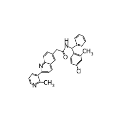 Cc1cc(Cl)ccc1C(NC(=O)Cc1ccc2nc(-c3cccnc3C)ccc2c1)c1ccccc1